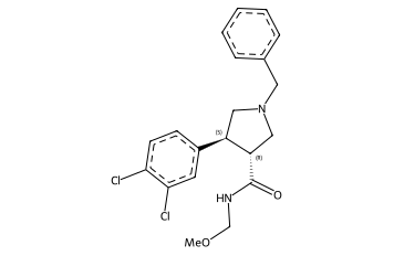 COCNC(=O)[C@H]1CN(Cc2ccccc2)C[C@@H]1c1ccc(Cl)c(Cl)c1